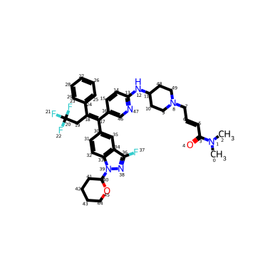 CN(C)C(=O)C=CCN1CCC(Nc2ccc(/C(=C(/CC(F)(F)F)c3ccccc3)c3ccc4c(c3)c(F)nn4C3CCCCO3)cn2)CC1